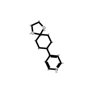 c1cc(C2CCC3(CC2)OCCO3)ccn1